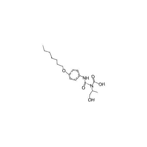 CCCCCCCOc1ccc(NC(=O)N(C(=O)O)C(C)CO)cc1